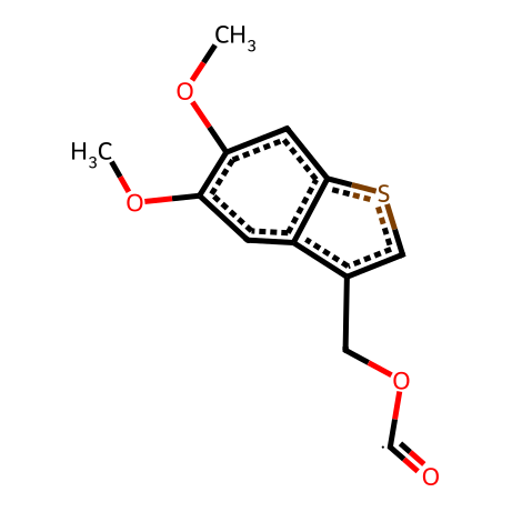 COc1cc2scc(CO[C]=O)c2cc1OC